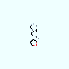 C1CCOC1.C[CH2][AlH][CH2]C